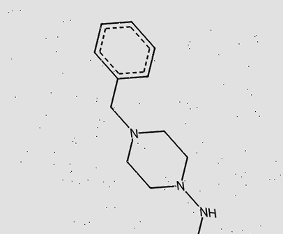 O=C(O)NN1CCN(Cc2ccccc2)CC1